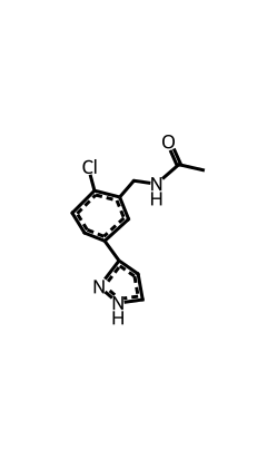 CC(=O)NCc1cc(-c2cc[nH]n2)ccc1Cl